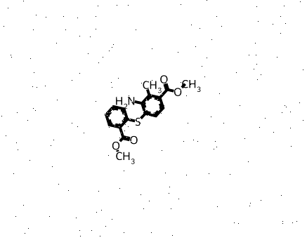 COC(=O)c1ccccc1Sc1ccc(C(=O)OC)c(C)c1N